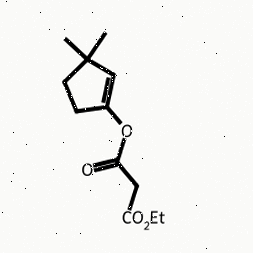 CCOC(=O)CC(=O)OC1=CC(C)(C)CC1